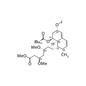 CC[C@H](C)C(=O)O[C@H]1C[C@H](OI)C=C2C=C[C@H](C)[C@H](CC[C@H](C[C@H](CC(=O)OC)OC)OC)[C@H]21